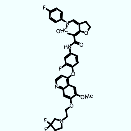 COc1cc2c(Oc3ccc(NC(=O)/C(C)=C4\OCC\C4=C\N(C=O)c4ccc(F)cc4)cc3F)ccnc2cc1OCCN1CCC(F)(F)C1